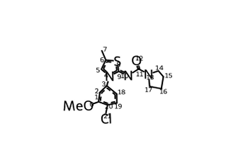 COc1cc(-n2cc(C)s/c2=N\C(=O)N2CCCC2)ccc1Cl